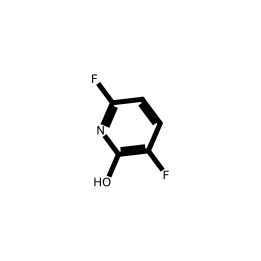 Oc1nc(F)ccc1F